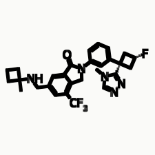 Cn1cnnc1[C@]1(c2cccc(N3Cc4c(cc(CNC5(C)CCC5)cc4C(F)(F)F)C3=O)c2)C[C@H](F)C1